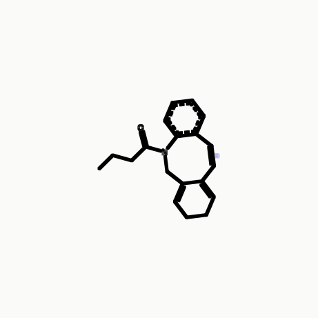 CCCC(=O)N1CC2=CCCC=C2/C=C\c2ccccc21